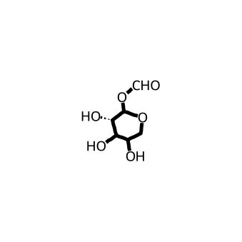 O=COC1OCC(O)C(O)[C@@H]1O